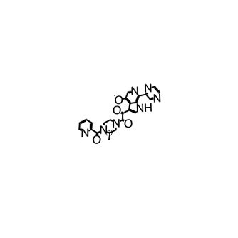 COc1cnc(-c2cnccn2)c2[nH]cc(C(=O)C(=O)N3CCN(C(=O)c4ccccn4)[C@H](C)C3)c12